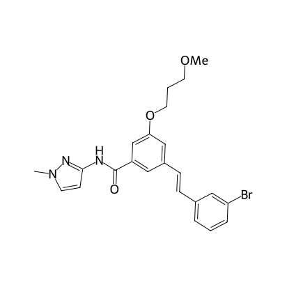 COCCCOc1cc(/C=C/c2cccc(Br)c2)cc(C(=O)Nc2ccn(C)n2)c1